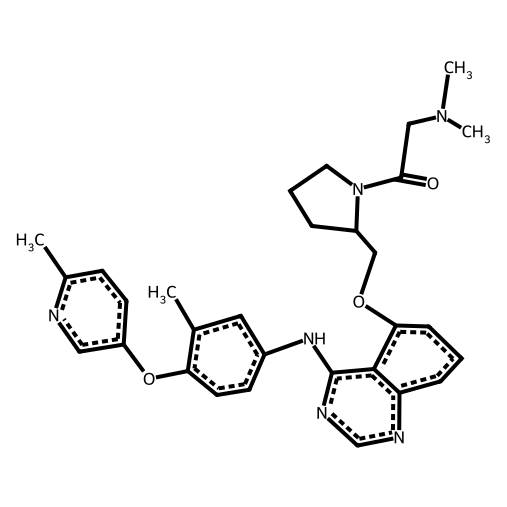 Cc1ccc(Oc2ccc(Nc3ncnc4cccc(OCC5CCCN5C(=O)CN(C)C)c34)cc2C)cn1